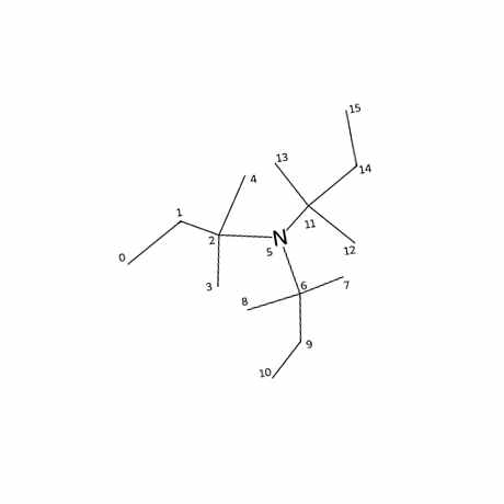 CCC(C)(C)N(C(C)(C)CC)C(C)(C)CC